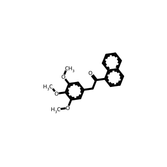 COc1cc(CC(=O)c2cccc3ccccc23)cc(OC)c1OC